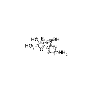 Nc1ccn([C@@H]2O[C@H](CO)[C@@H](O)C2(F)F)/c(=N/O)n1